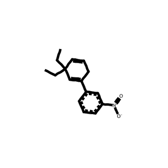 CCC1(CC)C=CCC(c2cccc([N+](=O)[O-])c2)=C1